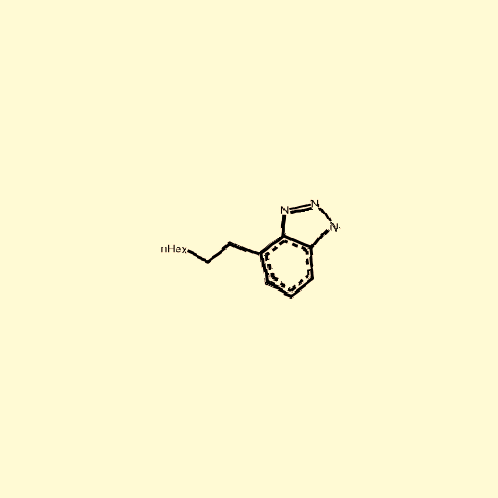 CCCCCCCCc1cccc2c1N=N[N]2